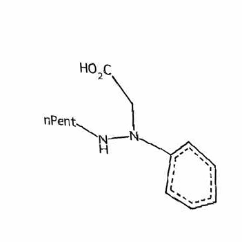 CCCCCNN(CC(=O)O)c1ccccc1